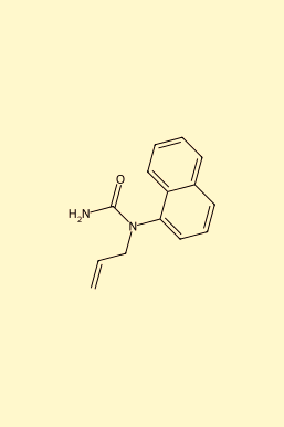 C=CCN(C(N)=O)c1cccc2ccccc12